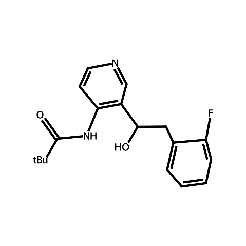 CC(C)(C)C(=O)Nc1ccncc1C(O)Cc1ccccc1F